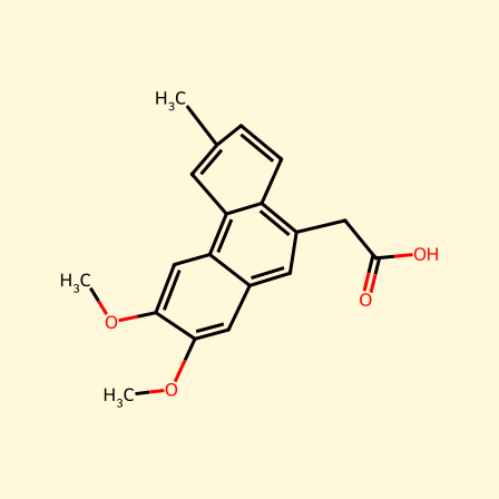 COc1cc2cc(CC(=O)O)c3ccc(C)cc3c2cc1OC